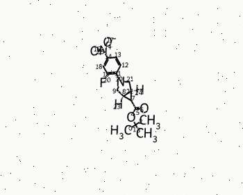 CC(C)(C)OC(=O)C1[C@H]2CN(c3ccc([N+](=O)[O-])cc3F)C[C@@H]12